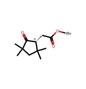 CC(C)(C)OC(=O)C[C@H]1C(=O)C(C)(C)CC1(C)C